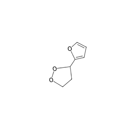 c1coc(C2CCOO2)c1